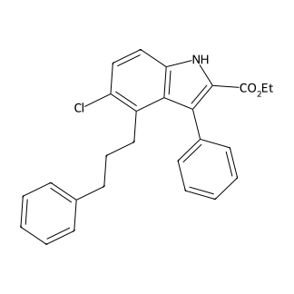 CCOC(=O)c1[nH]c2ccc(Cl)c(CCCc3ccccc3)c2c1-c1ccccc1